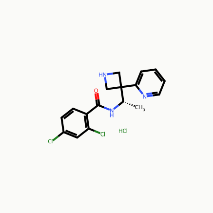 C[C@H](NC(=O)c1ccc(Cl)cc1Cl)C1(c2ccccn2)CNC1.Cl